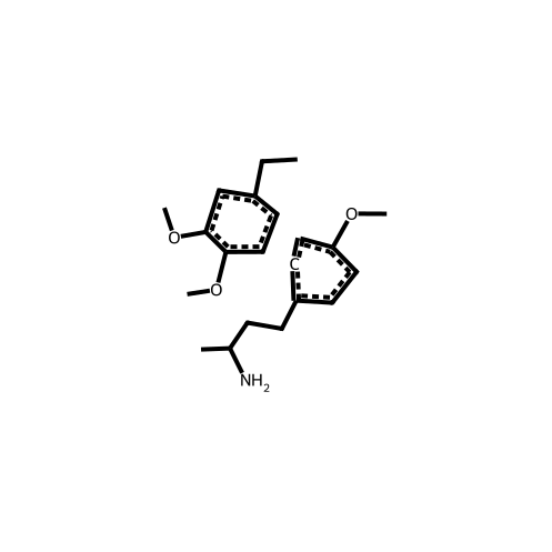 CCc1ccc(OC)c(OC)c1.COc1ccc(CCC(C)N)cc1